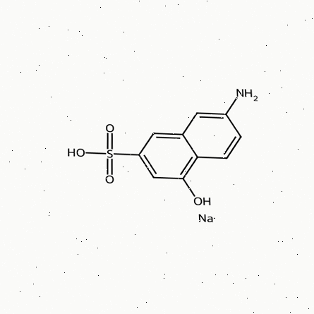 Nc1ccc2c(O)cc(S(=O)(=O)O)cc2c1.[Na]